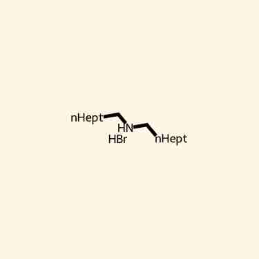 Br.CCCCCCCCNCCCCCCCC